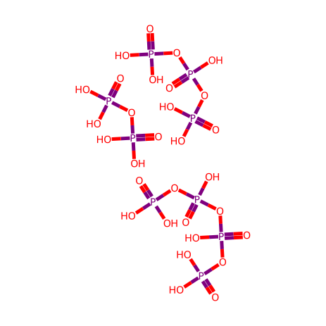 O=P(O)(O)OP(=O)(O)O.O=P(O)(O)OP(=O)(O)OP(=O)(O)O.O=P(O)(O)OP(=O)(O)OP(=O)(O)OP(=O)(O)O